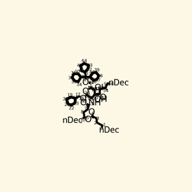 CCCCCCCCCCCCCC(=O)OC(CCCCCCCCCCCC)C(=O)N[C@H]1[C@H](OCc2ccccc2)O[C@H](COC(c2ccccc2)(c2ccccc2)c2ccccc2)[C@@H](O)[C@@]1(O)C(=O)CCCCCCCCCCCCC